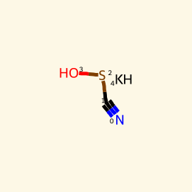 N#CSO.[KH]